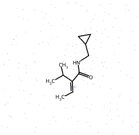 C/C=C(/C(=O)NCC1CC1)C(C)C